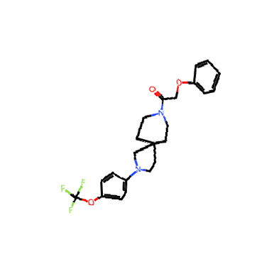 O=C(COc1ccccc1)N1CCC2(CC1)CCN(c1ccc(OC(F)(F)F)cc1)C2